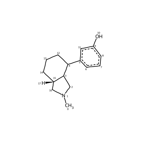 CN1CC2C(c3cccc(O)c3)CCC[C@H]2C1